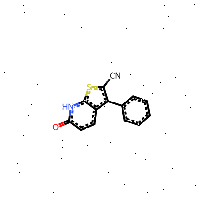 N#Cc1sc2[nH]c(=O)ccc2c1-c1ccccc1